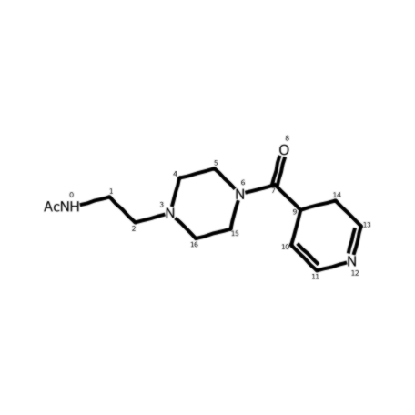 CC(=O)NCCN1CCN(C(=O)C2C=CN=CC2)CC1